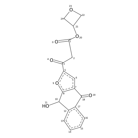 O=C(CC(=O)c1cc2c(o1)C(O)c1ccccc1C2=O)OC1COC1